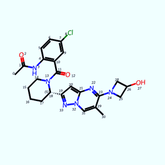 CC(=O)Nc1ccc(Cl)cc1C(=O)N1CCCC[C@H]1c1cc2nc(N3CC(O)C3)c(C)cn2n1